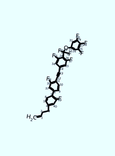 C=CCCc1ccc(-c2ccc(C#Cc3cc(F)c(C(F)(F)Oc4cc(F)c(F)c(F)c4)c(F)c3)c(F)c2)c(F)c1